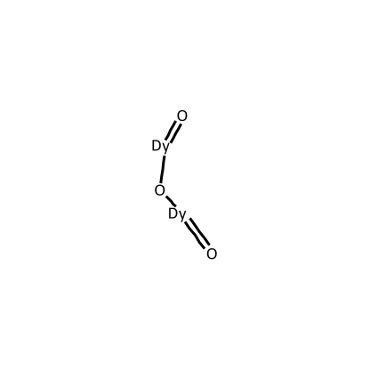 [O]=[Dy][O][Dy]=[O]